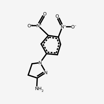 NC1=NN(c2ccc([N+](=O)[O-])c([N+](=O)[O-])c2)CC1